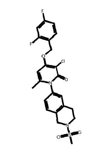 Cc1cc(OCc2ccc(F)cc2F)c(Cl)c(=O)n1-c1ccc2c(c1)CCN(S(C)(=O)=O)C2